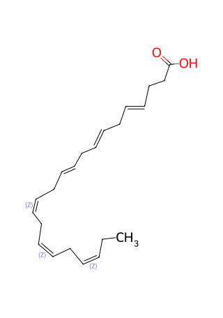 CC/C=C\C/C=C\C/C=C\CC=CCC=CCC=CCCC(=O)O